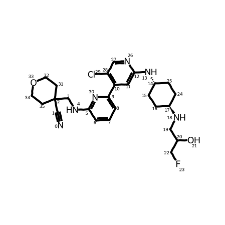 N#CC1(CNc2cccc(-c3cc(N[C@H]4CC[C@H](NCC(O)CF)CC4)ncc3Cl)n2)CCOCC1